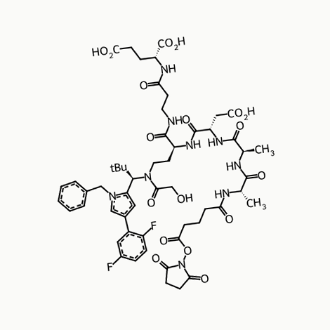 C[C@H](NC(=O)CCCC(=O)ON1C(=O)CCC1=O)C(=O)N[C@H](C)C(=O)N[C@@H](CC(=O)O)C(=O)N[C@@H](CCN(C(=O)CO)[C@@H](c1cc(-c2cc(F)ccc2F)cn1Cc1ccccc1)C(C)(C)C)C(=O)NCCC(=O)N[C@H](CCC(=O)O)C(=O)O